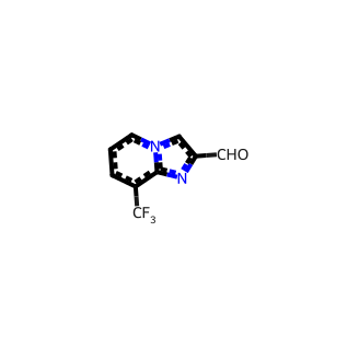 O=Cc1cn2cccc(C(F)(F)F)c2n1